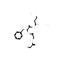 C[C@H](N)C(=O)N[C@@H](C)C(=O)N[C@@H](Cc1ccccc1)C(=O)N[C@@H](CCO)C(=O)O